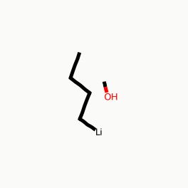 CO.[Li][CH2]CCC